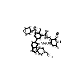 CCN(c1cc(-c2ccc3c(c2)C2(C=C3)CCN(CC(F)(F)F)CC2)cc(C(=O)NCC2=C(OC)C=C(C)NC2=C=O)c1C)C1CCOCC1